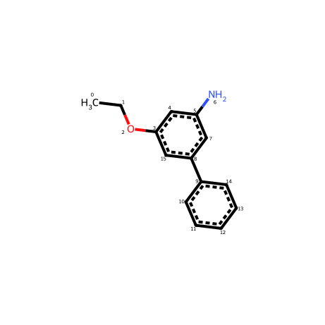 CCOc1cc(N)cc(-c2ccccc2)c1